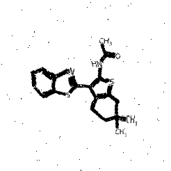 CC(=O)Nc1sc2c(c1-c1nc3ccccc3s1)CCC(C)(C)C2